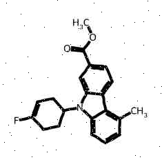 COC(=O)c1ccc2c3c(C)cccc3n(C3CC=C(F)CC3)c2c1